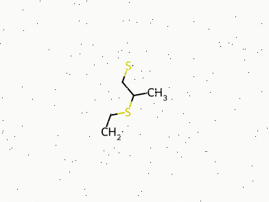 [CH2]CSC(C)C[S]